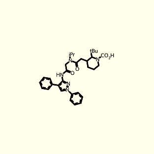 CC(C)N(CC(=O)Nc1nn(-c2ccccc2)cc1-c1ccccc1)C(=O)CC1CCCN(C(=O)O)C1C(C)(C)C